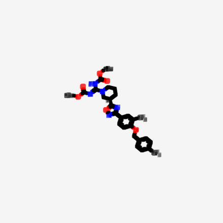 CC(C)(C)OC(=O)N=C(NC(=O)OC(C)(C)C)N1CCC[C@@H](c2nc(-c3ccc(OCc4ccc(C(F)(F)F)cc4)c(C(F)(F)F)c3)no2)C1